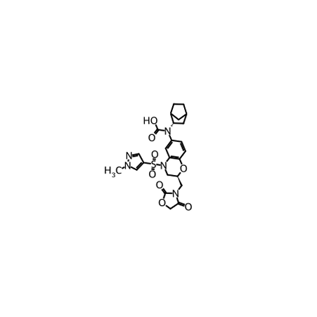 Cn1cc(S(=O)(=O)N2C[C@H](CN3C(=O)COC3=O)Oc3ccc(N(C(=O)O)[C@H]4CC5CCC4C5)cc32)cn1